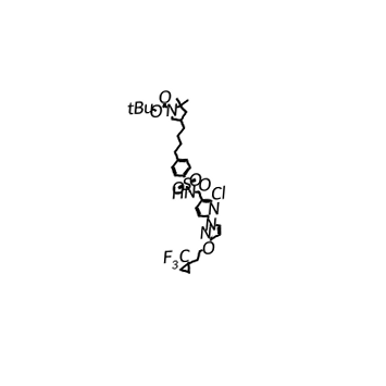 CC(C)(C)OC(=O)N1CC(CCCCc2ccc(S(=O)(=O)NC(=O)c3ccc(-n4ccc(OCCC5(C(F)(F)F)CC5)n4)nc3Cl)cc2)CC1(C)C